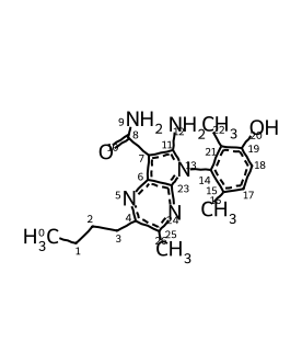 CCCCc1nc2c(C(N)=O)c(N)n(-c3c(C)ccc(O)c3C)c2nc1C